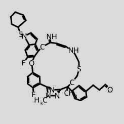 Cn1nc2nc1-c1cc(ccc1F)Oc1c(F)cc3c(ccn3SC3C=CCCC3)c1CC(=N)/C=C\NCCSCCC2(C)c1cccc(CCC=O)c1